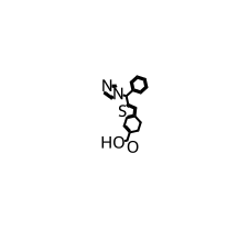 O=C(O)C1=Cc2sc(C(c3ccccc3)n3ccnc3)cc2CC1